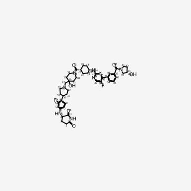 O=C1CCC(Nc2ccc(C3CCN(CC4(O)CCN(C(=O)[C@H]5CC[C@H](Nc6ncc(F)c(-c7cccc(C(=O)N8CC[C@H](O)C8)c7)n6)CC5)CC4)CC3)c(F)c2)C(=O)N1